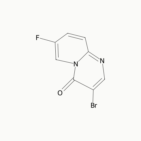 O=c1c(Br)cnc2ccc(F)cn12